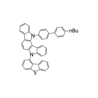 CCCCc1ccc(-c2ccc(-n3c4ccccc4c4ccc5c(c6ccccc6n5-c5cccc6sc7ccccc7c56)c43)cc2)cc1